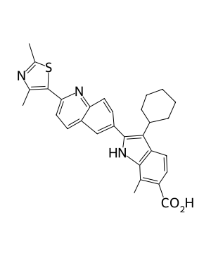 Cc1nc(C)c(-c2ccc3cc(-c4[nH]c5c(C)c(C(=O)O)ccc5c4C4CCCCC4)ccc3n2)s1